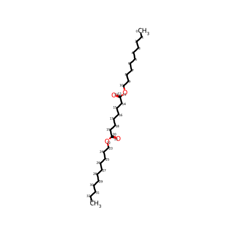 CCCCCCCCCCCOC(=O)CCCCCCC(=O)OCCCCCCCCCCC